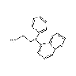 NCCC(c1ccccc1)c1cccc2ccccc12